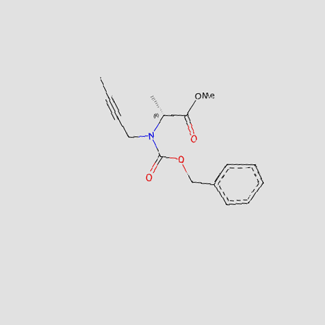 CC#CCN(C(=O)OCc1ccccc1)[C@H](C)C(=O)OC